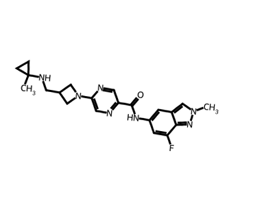 Cn1cc2cc(NC(=O)c3cnc(N4CC(CNC5(C)CC5)C4)cn3)cc(F)c2n1